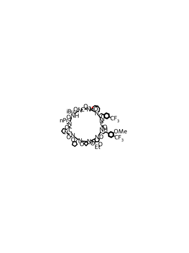 CCC[C@H]1C(=O)N[C@@H]([C@@H](C)CC)C(=O)N(C)CC(=O)N(C)[C@H]2C/C=C\CCN(C2=O)[C@@H](Cc2ccc(C(F)(F)F)cc2)C(=O)N(C)CC(=O)N[C@@H](CCc2ccc(C(F)(F)F)c(OC)c2)C(=O)N2C[C@H](OCC)C[C@H]2C(=O)N(C)C2(CCC2)C(=O)N(C)[C@@H](C2CCCC2)C(=O)N(C)[C@H](C(=O)N2CCCC2)CC(=O)N1C